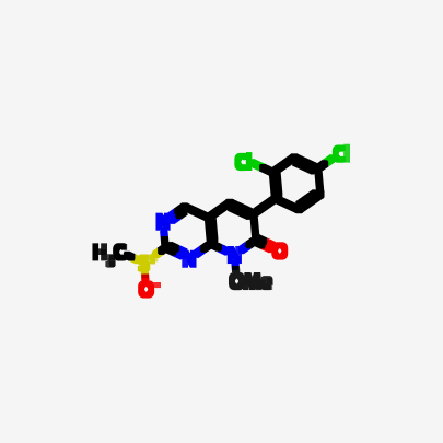 COn1c(=O)c(-c2ccc(Cl)cc2Cl)cc2cnc([S+](C)[O-])nc21